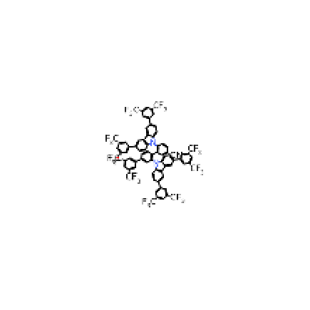 N#Cc1ccc(-n2c3ccc(-c4cc(C(F)(F)F)cc(C(F)(F)F)c4)cc3c3cc(-c4cc(C(F)(F)F)cc(C(F)(F)F)c4)ccc32)c(-c2ccc(-c3cc(C(F)(F)F)cc(C(F)(F)F)c3)cc2-n2c3ccc(-c4cc(C(F)(F)F)cc(C(F)(F)F)c4)cc3c3cc(-c4cc(C(F)(F)F)cc(C(F)(F)F)c4)ccc32)c1